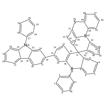 c1ccc(B2c3ccccc3C3(c4ccc(-c5ccc6c7ccccc7n(-c7ccccc7)c6c5)cc42)c2ccccc2B2c4ccccc4Sc4cccc3c42)cc1